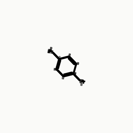 CC(C)c1[c]cc(C(C)C)c[c]1